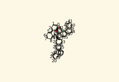 c1ccc(-c2ccccc2N(c2ccc3cc4oc5ccccc5c4cc3c2)c2cccc3c2ccc2ccc4ccccc4c23)cc1